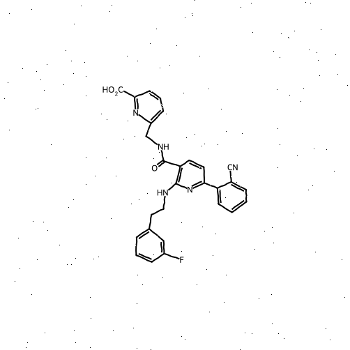 N#Cc1ccccc1-c1ccc(C(=O)NCc2cccc(C(=O)O)n2)c(NCCc2cccc(F)c2)n1